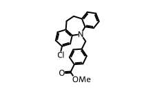 COC(=O)c1ccc(CN2c3ccccc3CCc3ccc(Cl)cc32)cc1